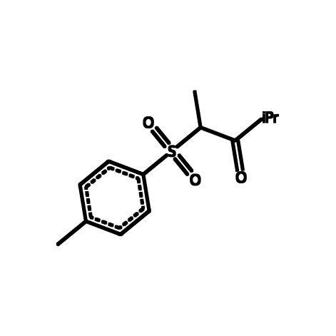 Cc1ccc(S(=O)(=O)C(C)C(=O)C(C)C)cc1